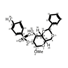 CO[C@H]1O[C@@H]2COC(c3ccccc3)O[C@H]2[C@H](O)[C@H]1OS(=O)(=O)c1ccc(C)cc1